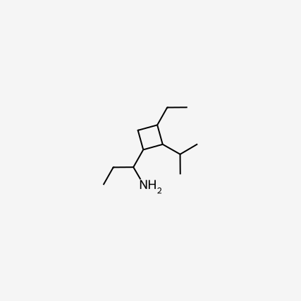 CCC(N)C1CC(CC)C1C(C)C